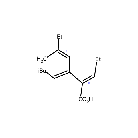 CC/C=C(/C(=O)O)C(=CC(C)CC)/C=C(\C)CC